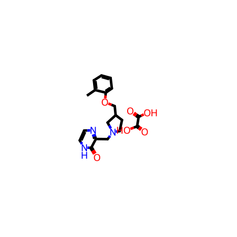 Cc1ccccc1OCC1CCN(Cc2ncc[nH]c2=O)C1.O=C(O)C(=O)O